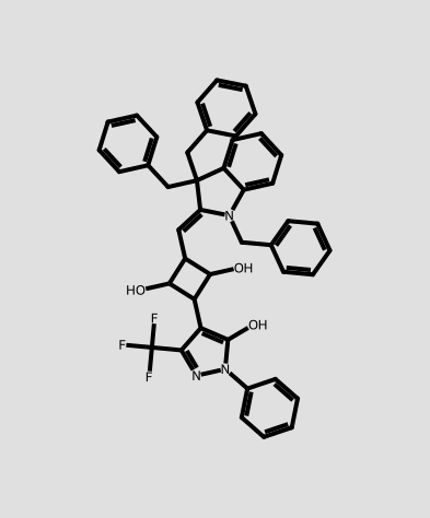 Oc1c(C2C(O)C(C=C3N(Cc4ccccc4)c4ccccc4C3(Cc3ccccc3)Cc3ccccc3)C2O)c(C(F)(F)F)nn1-c1ccccc1